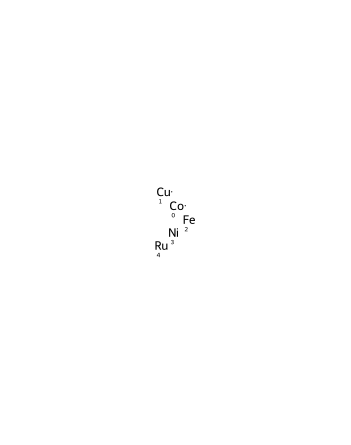 [Co].[Cu].[Fe].[Ni].[Ru]